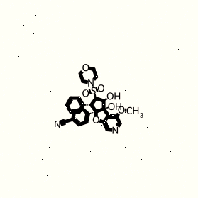 COc1cncc2c1[C@]1(O)[C@H](O)[C@H](S(=O)(=O)N3CCOCC3)[C@@H](c3ccccc3)[C@]1(c1ccc(C#N)cc1)O2